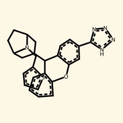 c1csc(CN2C3CCC2CC(C2c4ccccc4Oc4cc(-c5nnn[nH]5)ccc42)C3)c1